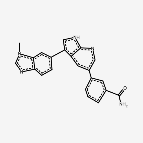 Cn1cnc2ccc(-c3c[nH]c4ncc(-c5cccc(C(N)=O)c5)cc34)cc21